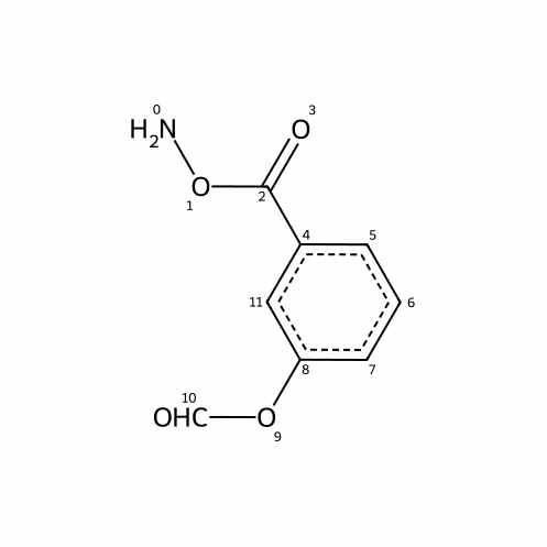 NOC(=O)c1cccc(OC=O)c1